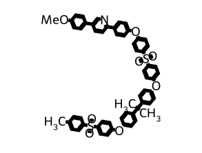 COc1ccc(-c2ccc(-c3ccc(Oc4ccc(S(=O)(=O)c5ccc(Oc6ccc(C(C)(C)c7ccc(Oc8ccc(S(=O)(=O)c9ccc(C)cc9)cc8)cc7)cc6)cc5)cc4)cc3)nc2)cc1